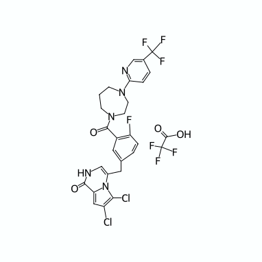 O=C(O)C(F)(F)F.O=C(c1cc(Cc2c[nH]c(=O)c3cc(Cl)c(Cl)n23)ccc1F)N1CCCN(c2ccc(C(F)(F)F)cn2)CC1